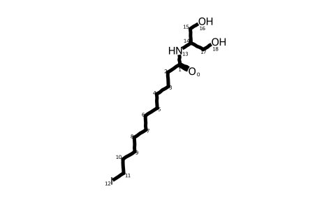 O=C(CCCCCCCCCCI)NC(CO)CO